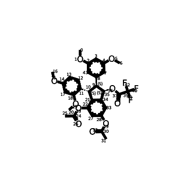 COc1cc(OC)cc([C@@H]2[C@@H](c3ccc(OC)cc3OC)c3c(OC(C)=O)cc(OC(C)=O)cc3[C@H]2OC(=O)C(F)(F)F)c1